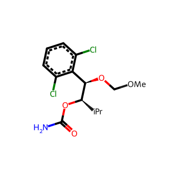 COCO[C@H](c1c(Cl)cccc1Cl)[C@H](OC(N)=O)C(C)C